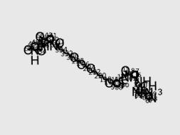 Cn1c(CNc2cccc(C(=O)NCc3cc(OCCCCCCOCCOCCOCCCCCC(=O)Nc4cccc5c4CN(C4CCC(=O)NC4=O)C5=O)ccc3F)c2)nnc1-c1ccncn1